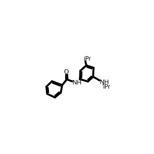 CC(C)Nc1cc(NC(=O)c2ccccc2)cc(C(C)C)c1